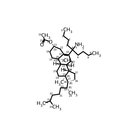 CCCCC(N)(CCCC)C1=C2C[C@@H](OC(C)=O)CC[C@]2(C)[C@H]2CC[C@]3(C)[C@@H]([C@H](C)CCCC(C)C)CC[C@H]3[C@@H]2C1